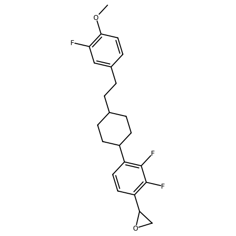 COc1ccc(CCC2CCC(c3ccc(C4CO4)c(F)c3F)CC2)cc1F